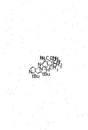 [2H]c1c2c(c([2H])c3c1nc1c4ccnc(C(C)(C)C)c4cc(C(C)(C)C)n13)C(C)(C)C(C)(C)C2(C)C